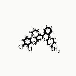 CN1CCN(c2ccccc2C(O)C2SCCN(c3ccc(Cl)c(Cl)c3)C2C=O)CC1